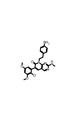 CNc1ncc2cc(-c3cc(OC)cc(OC)c3Cl)c(=O)n(CCc3ccc(N)cc3)c2n1